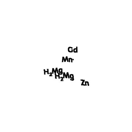 [Gd].[MgH2].[MgH2].[Mn].[Zn]